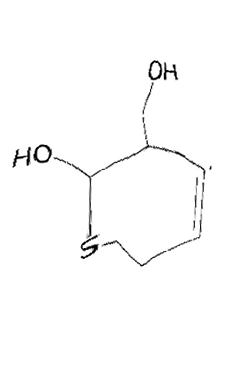 OC1[C]=CCSC1O